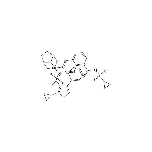 O=C(NS(=O)(=O)C1CC1)c1cccc2nc(NC3C4CCC3CC(OCc3c(-c5ccccc5OC(F)(F)F)noc3C3CC3)C4)cnc12